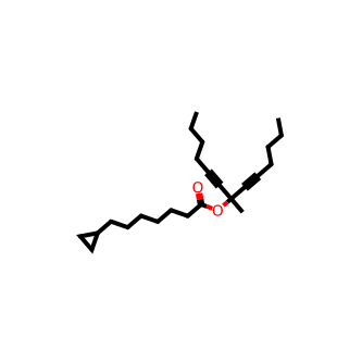 CCCCC#CC(C)(C#CCCCC)OC(=O)CCCCCCC1CC1